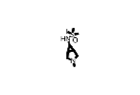 CN1CC2C(C1)C2NS(C)(C)(=O)I